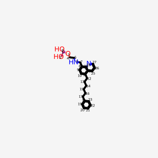 OP(O)OCCNCc1ccc(CCCCCCc2ccccc2)c2cccnc12